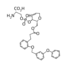 N[C@@H](COP(=O)(O)O[C@H]1C=CCO[C@H]1COC(=O)CCc1ccccc1OCc1cccc(Oc2ccccc2)c1)C(=O)O